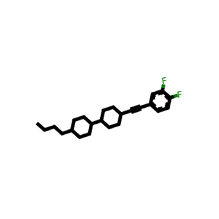 CCCCC1CCC(C2CCC(C#Cc3ccc(F)c(F)c3)CC2)CC1